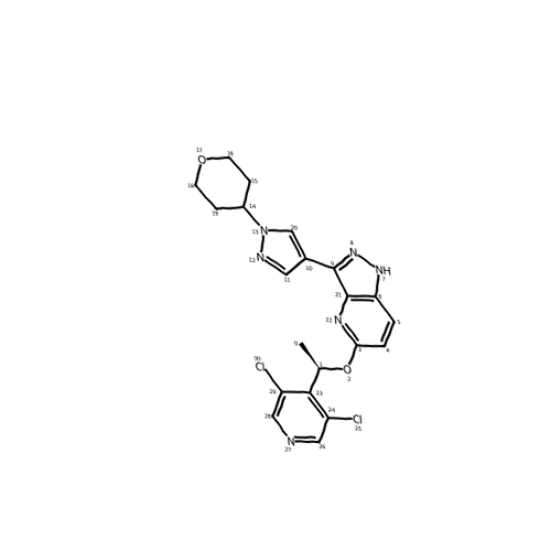 C[C@@H](Oc1ccc2[nH]nc(-c3cnn(C4CCOCC4)c3)c2n1)c1c(Cl)cncc1Cl